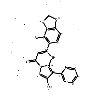 Cc1c(-c2cc(=O)n3nc(O)c(-c4ccccn4)c3[nH]2)ccc2c1OCO2